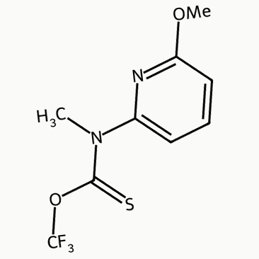 COc1cccc(N(C)C(=S)OC(F)(F)F)n1